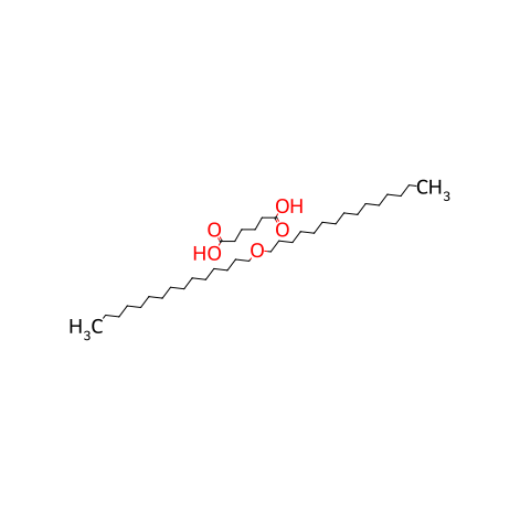 CCCCCCCCCCCCCCCOCCCCCCCCCCCCCCC.O=C(O)CCCCC(=O)O